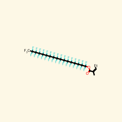 CCC=C(C)C(=O)OC(F)(F)C(F)(F)C(F)(F)C(F)(F)C(F)(F)C(F)(F)C(F)(F)C(F)(F)C(F)(F)C(F)(F)C(F)(F)C(F)(F)C(F)(F)C(F)(F)C(F)(F)C(F)(F)C(F)(F)F